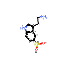 NCCc1c[nH]c2ccc([SH](=O)=O)cc12